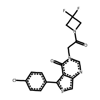 O=C(Cn1cnc2csc(-c3ccc(Cl)cc3)c2c1=O)N1CC(F)(F)C1